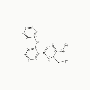 CC(C)CC(NC(=O)c1ccccc1Oc1ccccc1)C(=O)NO